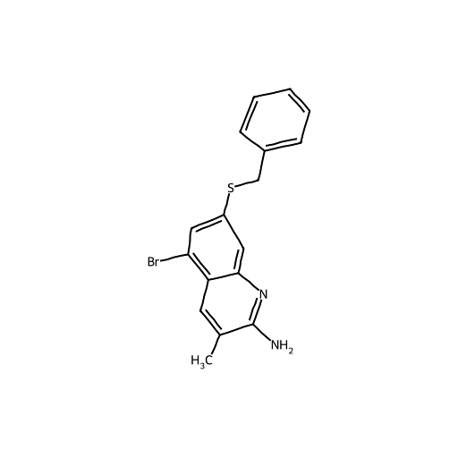 Cc1cc2c(Br)cc(SCc3ccccc3)cc2nc1N